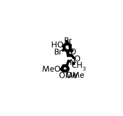 COc1cc(CN(C)C(=O)c2cc3c(Br)c(O)c(Br)cc3o2)cc(OC)c1OC